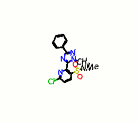 CNS(=O)(=O)c1ccc(Cl)nc1-c1nc(-c2ccccc2)nn1C